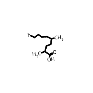 CC(CCCCF)CCC(C)C(=O)O